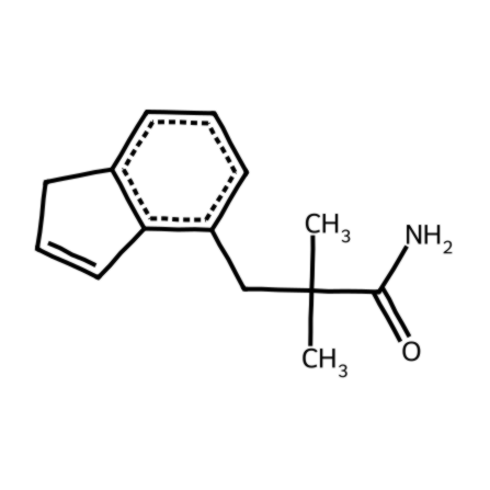 CC(C)(Cc1cccc2c1C=CC2)C(N)=O